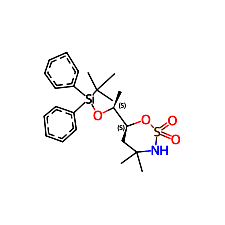 C[C@H](O[Si](c1ccccc1)(c1ccccc1)C(C)(C)C)[C@@H]1CC(C)(C)NS(=O)(=O)O1